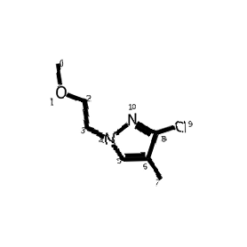 COCCn1cc(C)c(Cl)n1